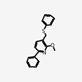 COc1nc(-c2ccccc2)ccc1CSc1[c]cccc1